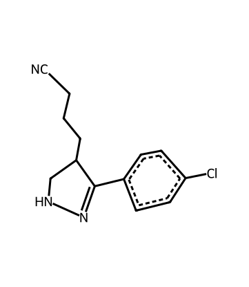 N#CCCCC1CNN=C1c1ccc(Cl)cc1